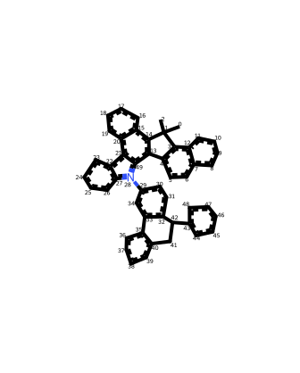 CC1(C)c2c(ccc3ccccc23)-c2c1c1ccccc1c1c3ccccc3n(-c3ccc4c(c3)-c3ccccc3CC4c3ccccc3)c21